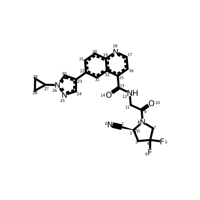 N#C[C@@H]1CC(F)(F)CN1C(=O)CNC(=O)c1ccnc2ccc(-c3cnn(C4CC4)c3)cc12